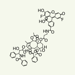 CC(=O)O[C@H]1C(=O)[C@@]2(C)C([C@H](OC(=O)c3ccccc3)[C@]3(O)C[C@H](OC(=O)C(O)C(NC(=O)c4ccccc4)c4ccccc4)C(C)=C1C3(C)C)[C@]1(OC(C)=O)CO[C@@H]1C[C@@H]2OC(=O)CCNC(=O)c1ccc(-c2c3cc(F)c(=O)cc-3oc3cc(O)c(F)cc23)c(C(=O)O)c1